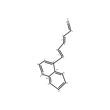 O=C/C=C/C=C/c1ccnc2ccccc12